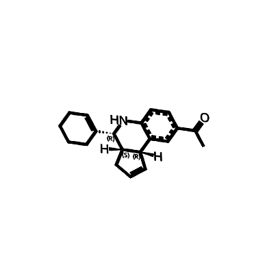 CC(=O)c1ccc2c(c1)[C@@H]1C=CC[C@@H]1[C@H](C1=CCCCC1)N2